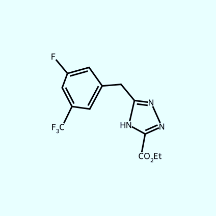 CCOC(=O)c1nnc(Cc2cc(F)cc(C(F)(F)F)c2)[nH]1